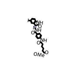 COC(=O)CCCCC(=O)Nc1ccc(C(=O)N/N=C2\C(=O)Nc3ccc(I)cc32)cc1